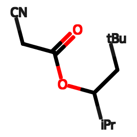 CC(C)C(CC(C)(C)C)OC(=O)CC#N